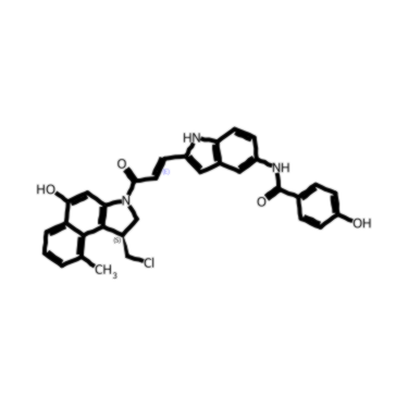 Cc1cccc2c(O)cc3c(c12)[C@H](CCl)CN3C(=O)/C=C/c1cc2cc(NC(=O)c3ccc(O)cc3)ccc2[nH]1